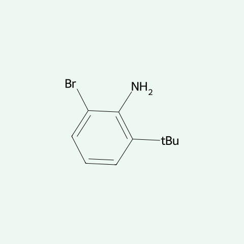 CC(C)(C)c1cccc(Br)c1N